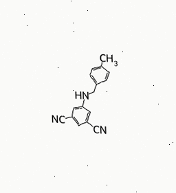 Cc1ccc(CNc2cc(C#N)cc(C#N)c2)cc1